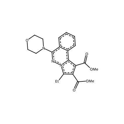 CCc1c(C(=O)OC)c(C(=O)OC)c2c3ccccc3c(N3CCOCC3)nn12